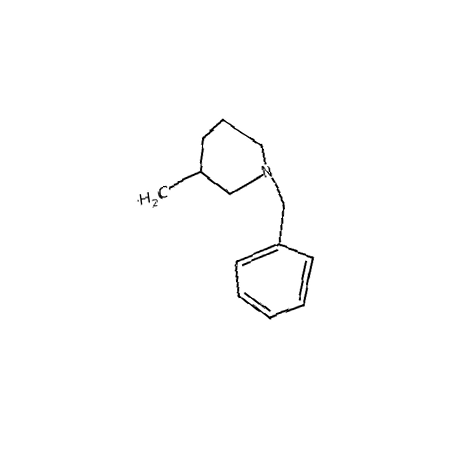 [CH2]C1CCCN(Cc2ccccc2)C1